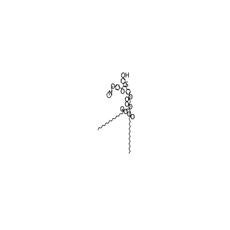 CCCCCCCCCCCCCCCC(=O)OCC(COC(=O)CCCCCCCCCCCCCCC)OC(=O)CC(=O)Oc1ccc(-c2sc3cc(O)ccc3c2C(=O)c2ccc(OCCN3CCCCC3)cc2)cc1